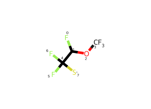 FC(OC(F)(F)F)C(F)(F)[S]